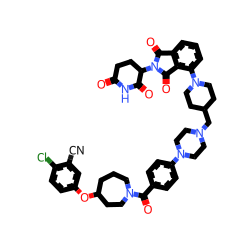 N#Cc1cc(OC2CCCN(C(=O)c3ccc(N4CCN(CC5CCN(c6cccc7c6C(=O)N(C6CCC(=O)NC6=O)C7=O)CC5)CC4)cc3)CC2)ccc1Cl